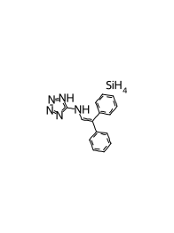 C(Nc1nnn[nH]1)=C(c1ccccc1)c1ccccc1.[SiH4]